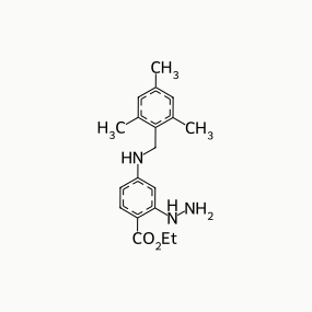 CCOC(=O)c1ccc(NCc2c(C)cc(C)cc2C)cc1NN